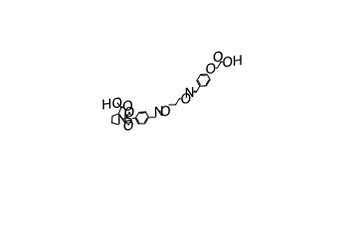 O=C(O)COc1ccc(/C=N/OCCCO/N=C/c2ccc(S(=O)(=O)N3CCCC3C(=O)O)cc2)cc1